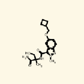 Cn1nc2ccc(OCC3CCC3)cc2c1C(=O)NC(C)(CO)C(N)=O